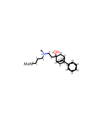 CNCCCN(C)CCC1(O)CC2CCC1C=C2c1ccccc1